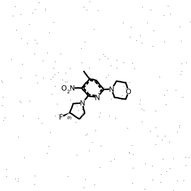 Cc1cc(N2CCOCC2)nc(N2CC[C@@H](F)C2)c1[N+](=O)[O-]